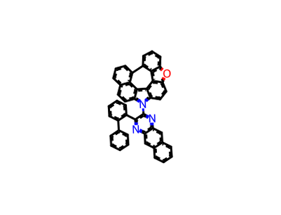 c1ccc(-c2ccccc2-c2nc3cc4ccccc4cc3nc2-n2c3ccc4cccc5c4c3c3c4c(ccc32)oc2cccc-5c24)cc1